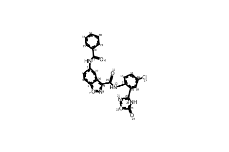 O=C(Nc1ccc2onc(C(=O)Nc3ccc(Cl)cc3-c3noc(=O)[nH]3)c2c1)c1ccccc1